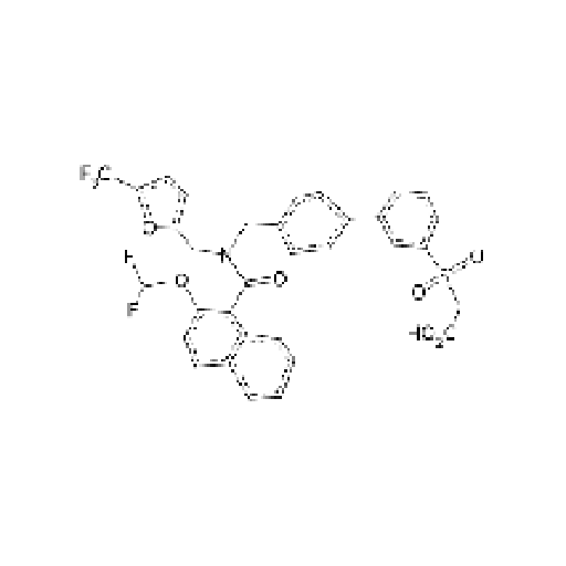 O=C(O)CS(=O)(=O)c1cccc(-c2ccc(CN(Cc3ccc(C(F)(F)F)o3)C(=O)c3c(OC(F)F)ccc4ccccc34)cc2)c1